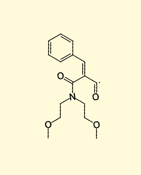 COCCN(CCOC)C(=O)C([C]=O)=Cc1ccccc1